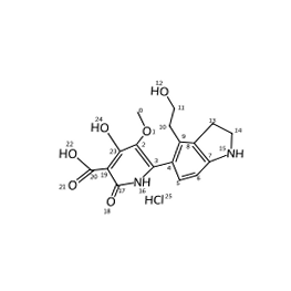 COc1c(-c2ccc3c(c2CCO)CCN3)[nH]c(=O)c(C(=O)O)c1O.Cl